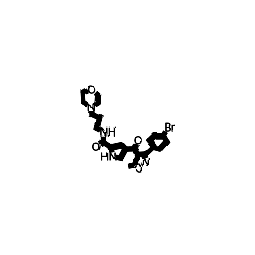 Cc1onc(-c2ccc(Br)cc2)c1C(=O)c1c[nH]c(C(=O)NCCCN2CCOCC2)c1